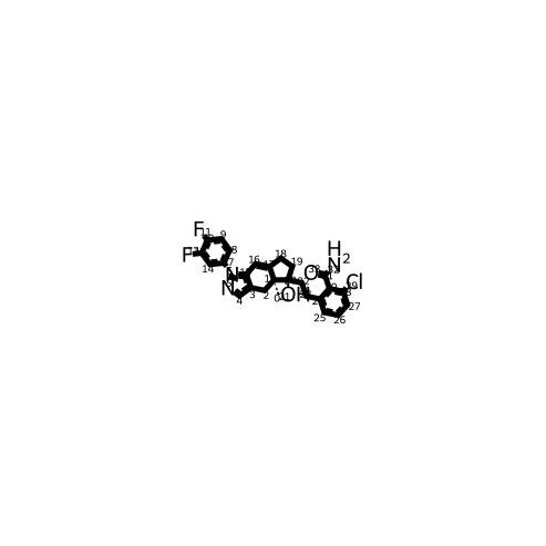 C[C@]12Cc3cnn(-c4ccc(F)c(F)c4)c3C=C1CC[C@@]2(O)CCc1cccc(Cl)c1C(N)=O